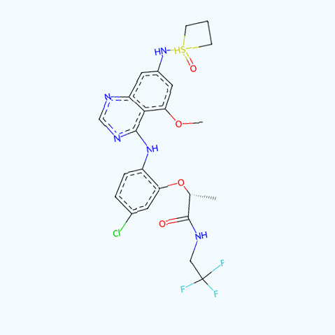 COc1cc(N[SH]2(=O)CCC2)cc2ncnc(Nc3ccc(Cl)cc3O[C@H](C)C(=O)NCC(F)(F)F)c12